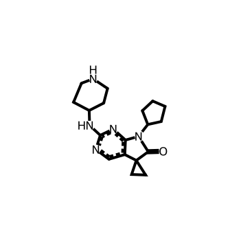 O=C1N(C2CCCC2)c2nc(NC3CCNCC3)ncc2C12CC2